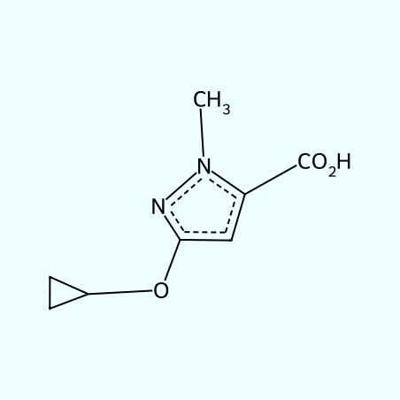 Cn1nc(OC2CC2)cc1C(=O)O